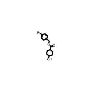 CC(C)c1ccc(COC(=O)C2CCC(O)CC2)cc1